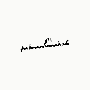 CCC(C)CCOC(=O)CCCCCCCN(CCCN)CCCCCCCC(=O)OCCC(C)CC